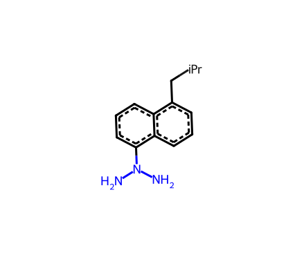 CC(C)Cc1cccc2c(N(N)N)cccc12